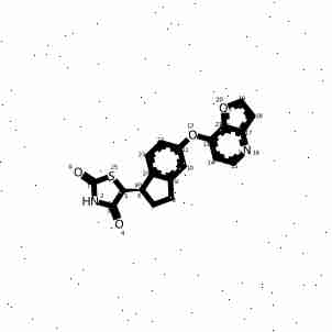 O=C1NC(=O)C([C@@H]2CCc3cc(Oc4ccnc5ccoc45)ccc32)S1